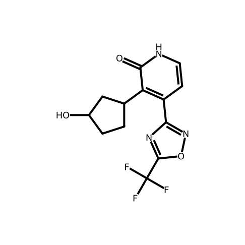 O=c1[nH]ccc(-c2noc(C(F)(F)F)n2)c1C1CCC(O)C1